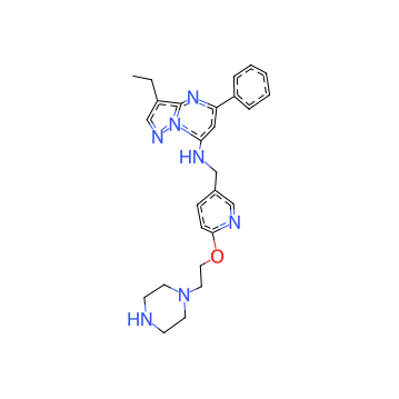 CCc1cnn2c(NCc3ccc(OCCN4CCNCC4)nc3)cc(-c3ccccc3)nc12